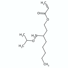 C=CC(=O)OCCC(CCCCC)[SiH2]OC(C)C